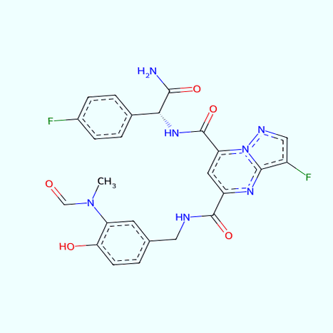 CN(C=O)c1cc(CNC(=O)c2cc(C(=O)N[C@@H](C(N)=O)c3ccc(F)cc3)n3ncc(F)c3n2)ccc1O